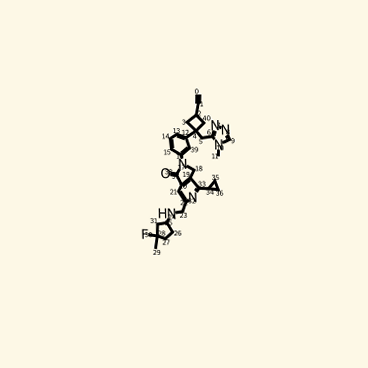 C#CC1CC(Cc2nncn2C)(c2cccc(N3Cc4c(cc(CNC5CCC(C)(F)C5)nc4C4CC4)C3=O)c2)C1